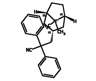 C[N+]1(C)[C@@H]2CC[C@H]1C[C@@H](CC(C#N)(c1ccccc1)c1ccccc1)C2